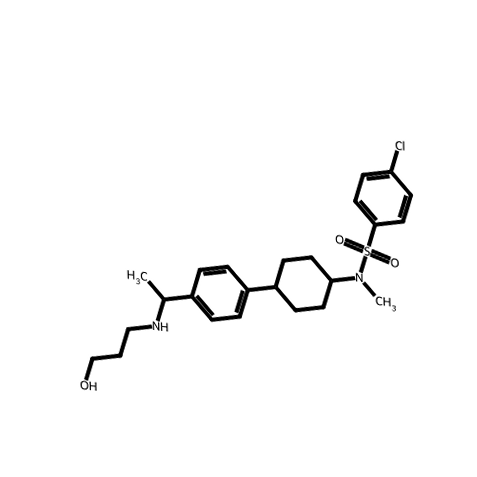 CC(NCCCO)c1ccc(C2CCC(N(C)S(=O)(=O)c3ccc(Cl)cc3)CC2)cc1